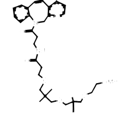 COCCOCC(C)(C)COCC(C)(C)COCCC(=O)NCCC(=O)N1Cc2ccccc2/C=C\c2ccccc21